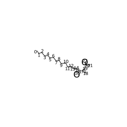 CCCCCCCCCCCCCCCC(=O)[C@H]1C[C@H]1C(C)=O